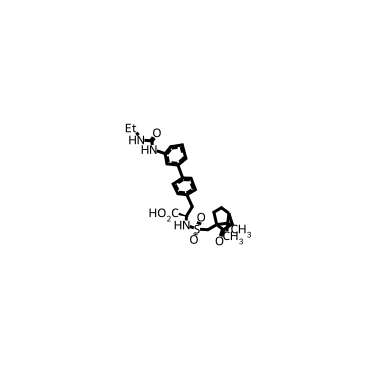 CCNC(=O)Nc1cccc(-c2ccc(C[C@@H](NS(=O)(=O)CC34CCC(CC3=O)C4(C)C)C(=O)O)cc2)c1